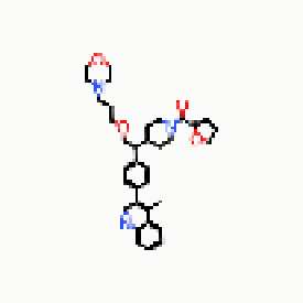 Cc1c(-c2ccc(C(COCCCN3CCOCC3)C3CCN(C(=O)[C@H]4CCCO4)CC3)cc2)cnc2ccccc12